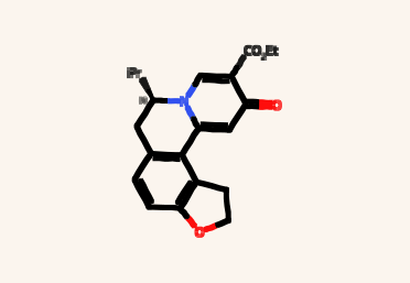 CCOC(=O)c1cn2c(cc1=O)-c1c(ccc3c1CCO3)C[C@H]2C(C)C